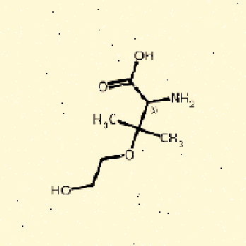 CC(C)(OCCO)[C@H](N)C(=O)O